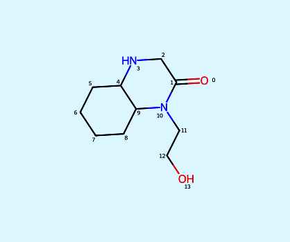 O=C1CNC2CCCCC2N1CCO